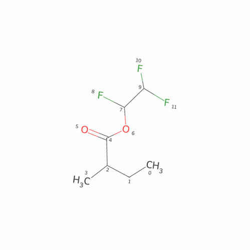 CCC(C)C(=O)OC(F)C(F)F